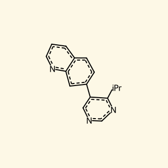 CC(C)c1ncncc1-c1ccc2cccnc2c1